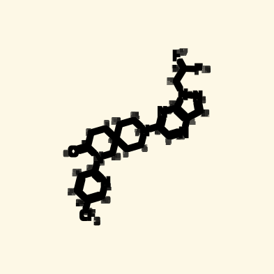 O=C1CCC2(CCN(c3cnc4cnn(CC(F)F)c4n3)CC2)CN1c1ccc(C(F)(F)F)cn1